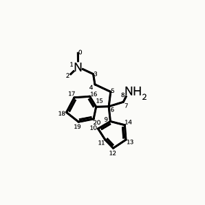 CN(C)CCCC(CN)(c1ccccc1)c1ccccc1